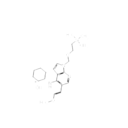 COC=Cc1cnc2c(ccn2COCC[Si](C)(C)C)c1N[C@H]1CCCC[C@H]1C